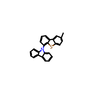 Cc1ccc2sc3c(-n4c5ccccc5c5ccccc54)cccc3c2c1